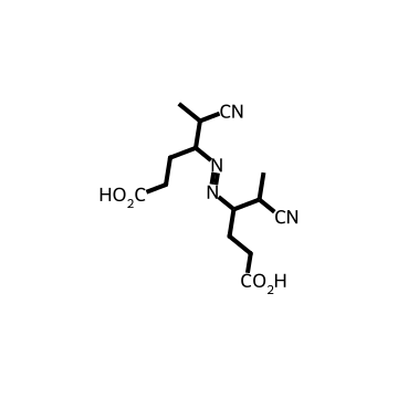 CC(C#N)C(CCC(=O)O)N=NC(CCC(=O)O)C(C)C#N